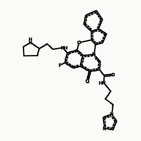 O=C(NCCCn1ccnc1)c1cn2c3c(c(NCCC4CCCN4)c(F)cc3c1=O)Oc1c-2ccc2ccccc12